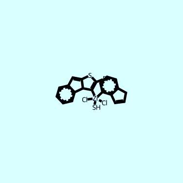 [SH][Zr]([Cl])([Cl])([C]1=C(Br)SC2=Cc3ccccc3C21)[c]1cccc2c1C=CC2